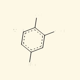 CC(C)(C)c1ccc(O)c(C(=O)O)c1.[MgH2]